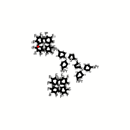 CCCc1ccc([S+](c2ccc(CCC)cc2)c2ccc(Sc3ccc([S+](c4ccc(CCC)cc4)c4ccc(CCC)cc4)s3)s2)cc1.Fc1c(F)c(F)c([B-](c2c(F)c(F)c(F)c(F)c2F)(c2c(F)c(F)c(F)c(F)c2F)c2c(F)c(F)c(F)c(F)c2F)c(F)c1F.Fc1c(F)c(F)c([B-](c2c(F)c(F)c(F)c(F)c2F)(c2c(F)c(F)c(F)c(F)c2F)c2c(F)c(F)c(F)c(F)c2F)c(F)c1F